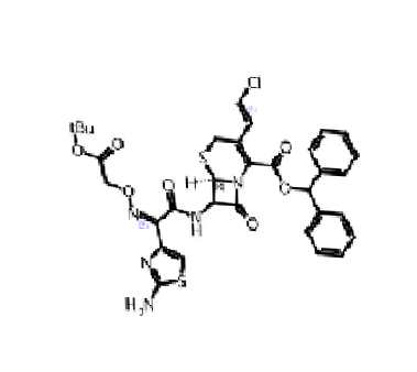 CC(C)(C)OC(=O)CO/N=C(\C(=O)NC1C(=O)N2C(C(=O)OC(c3ccccc3)c3ccccc3)=C(/C=C/Cl)CS[C@H]12)c1csc(N)n1